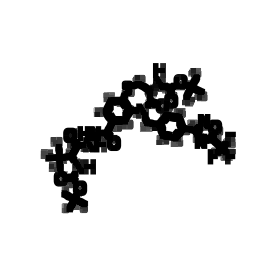 CC(C)(C)OC(=O)NC(C(=O)NNC(=O)c1ccc2c(c1)N(Cc1ccc(-c3noc(C(F)(F)F)n3)cc1)C(=O)[C@@H](NC(=O)OC(C)(C)C)CS2)C(C)(C)C